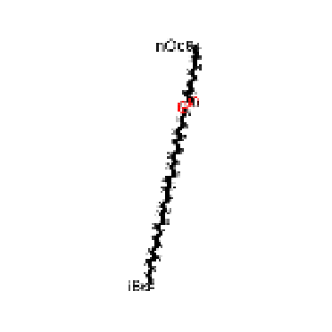 CCCCCCCC/C=C\CCCCCCCC(=O)OCCCCCCCCCCCCCCCCCCCCCCCCCCCCCC(C)CC